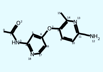 CC(=O)Nc1cc(Oc2ccc(N)nc2C)ccn1